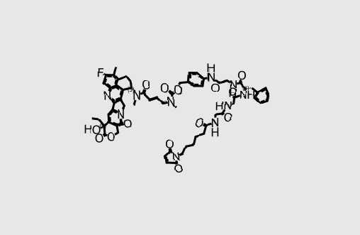 CC[C@@]1(O)C(=O)OCc2c1cc1n(c2=O)Cc2c-1nc1cc(F)c(C)c3c1c2[C@@H](N(C)C(=O)CCCN(C)C(=O)OCc1ccc(NC(=O)CNC(=O)[C@H](Cc2ccccc2)NC(=O)CNC(=O)CNC(=O)CCCCCN2C(=O)C=CC2=O)cc1)CC3